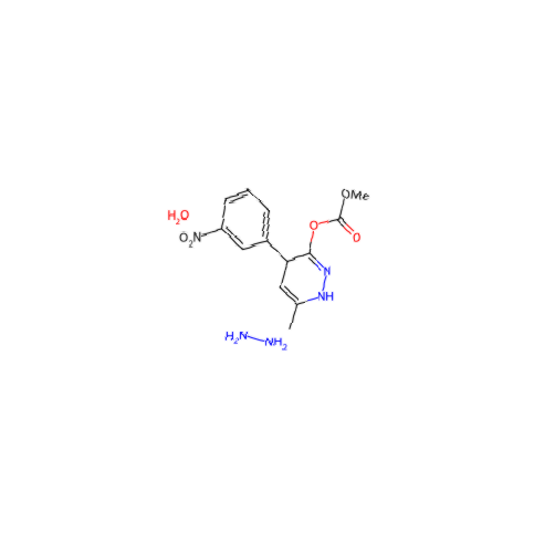 COC(=O)OC1=NNC(C)=CC1c1cccc([N+](=O)[O-])c1.NN.O